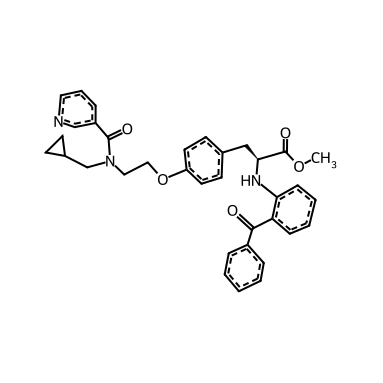 COC(=O)[C@H](Cc1ccc(OCCN(CC2CC2)C(=O)c2cccnc2)cc1)Nc1ccccc1C(=O)c1ccccc1